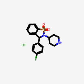 Cl.O=S1(=O)c2ccccc2C(c2ccc(F)cc2)N1C1CCNCC1